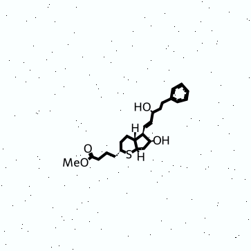 COC(=O)CCC[C@@H]1CC[C@@H]2[C@@H](C=C[C@H](O)CCc3ccccc3)[C@H](O)C[C@@H]2S1